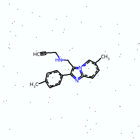 C#CCNCc1c(-c2ccc(C)cc2)nc2ccc(C)cn12